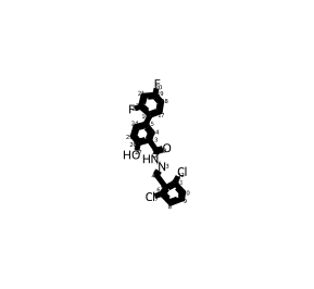 O=C(NN=Cc1c(Cl)cccc1Cl)c1cc(-c2ccc(F)cc2F)ccc1O